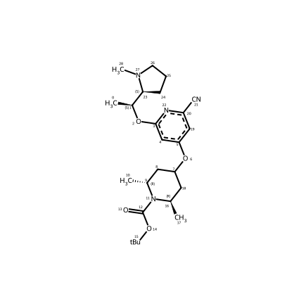 C[C@H](Oc1cc(OC2C[C@@H](C)N(C(=O)OC(C)(C)C)[C@H](C)C2)cc(C#N)n1)[C@@H]1CCCN1C